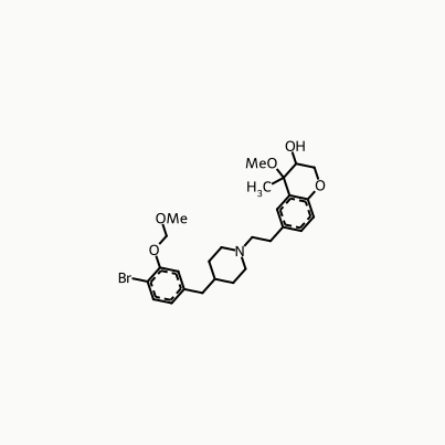 COCOc1cc(CC2CCN(CCc3ccc4c(c3)C(C)(OC)C(O)CO4)CC2)ccc1Br